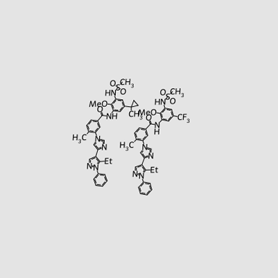 CCc1c(-c2cn(-c3cc(C(=O)Nc4cc(C(F)(F)F)cc(NS(C)(=O)=O)c4OC)ccc3C)cn2)cnn1-c1ccccc1.CCc1c(-c2cn(-c3cc(C(=O)Nc4cc(C5(C)CC5)cc(NS(C)(=O)=O)c4OC)ccc3C)cn2)cnn1-c1ccccc1